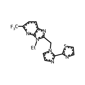 CCn1c(Cn2ccnc2-c2nccs2)nc2ccc(C(F)(F)F)nc21